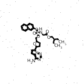 CCC(CC)COC(=O)CNP(=O)(OCC1CCC(c2ccc3c(N)ncnn23)O1)Oc1ccc2ccccc2c1